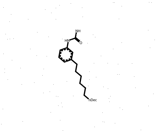 CCCCCCCCCCCCCCCCc1cccc(NC([NH])=O)c1